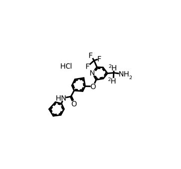 Cl.[2H]C([2H])(N)c1cc(Oc2cccc(C(=O)Nc3ccccc3)c2)nc(C(F)(F)F)c1